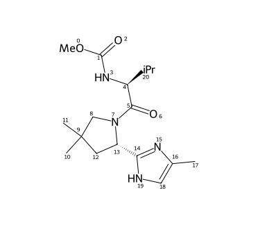 COC(=O)N[C@H](C(=O)N1CC(C)(C)C[C@H]1c1nc(C)c[nH]1)C(C)C